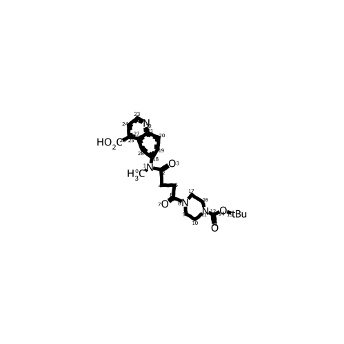 CN(C(=O)CCC(=O)N1CCN(C(=O)OC(C)(C)C)CC1)c1ccc2nccc(C(=O)O)c2c1